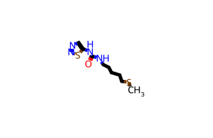 CSCCCCCNC(=O)Nc1cnns1